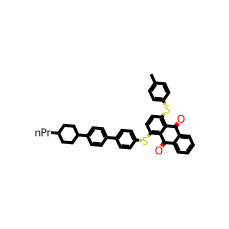 CCCC1CCC(c2ccc(-c3ccc(Sc4ccc(Sc5ccc(C)cc5)c5c4C(=O)c4ccccc4C5=O)cc3)cc2)CC1